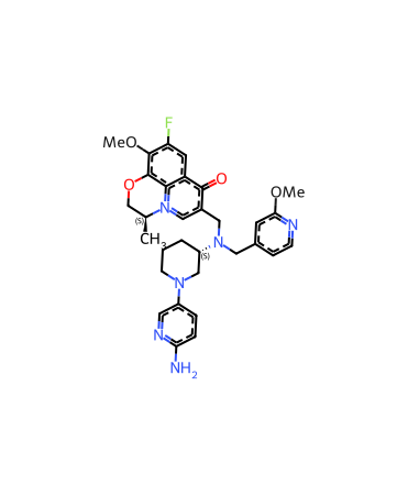 COc1cc(CN(Cc2cn3c4c(c(OC)c(F)cc4c2=O)OC[C@@H]3C)[C@H]2CCCN(c3ccc(N)nc3)C2)ccn1